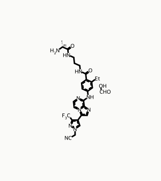 CCc1cc(Nc2nccn3c(-c4cn(CC#N)nc4C(F)(F)F)cnc23)ccc1C(=O)NCCCNC(=O)[C@@H](C)N.O=CO